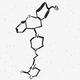 O=C1OCCN1CCN1CCN(C2Cc3cc(Br)ccc3Sc3ccccc32)CC1